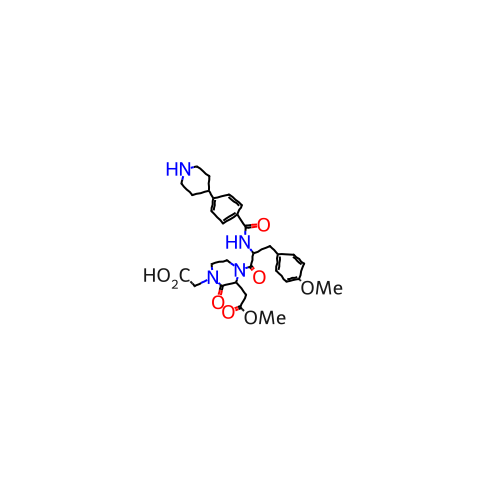 COC(=O)CC1C(=O)N(CC(=O)O)CCN1C(=O)C(Cc1ccc(OC)cc1)NC(=O)c1ccc(C2CCNCC2)cc1